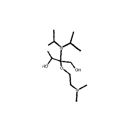 CC(C)N(C(C)C)C(CO)(OCCN(C)C)C(C)O